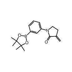 C=C1CCN(c2cccc(B3OC(C)(C)C(C)(C)O3)c2)C1=O